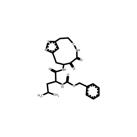 CC(C)CC(NC(=O)OCc1ccccc1)C(=O)NC1Cc2cc(sn2)CCCNC(=O)C1=O